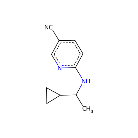 CC(Nc1ccc(C#N)cn1)C1CC1